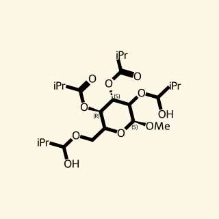 CO[C@H]1OC(COC(O)C(C)C)[C@@H](OC(=O)C(C)C)[C@H](OC(=O)C(C)C)C1OC(O)C(C)C